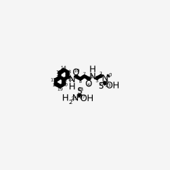 CN(CCNC(=O)CCC(=O)Nc1cccc2ccccc12)C(O)=S.NC(O)=S